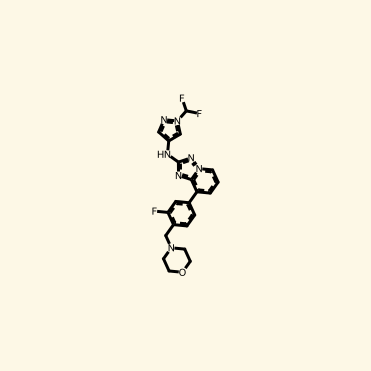 Fc1cc(-c2cccn3nc(Nc4cnn(C(F)F)c4)nc23)ccc1CN1CCOCC1